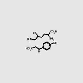 NCC(O)CCC(N)C(=O)O.O=C(O)CNc1ccc(O)cc1